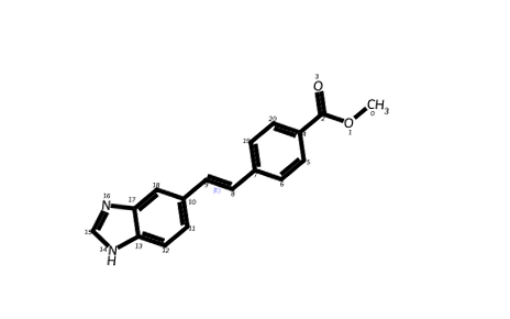 COC(=O)c1ccc(/C=C/c2ccc3[nH]cnc3c2)cc1